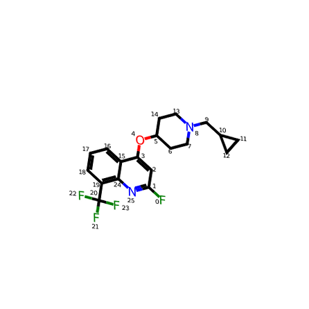 Fc1cc(OC2CCN(CC3CC3)CC2)c2cccc(C(F)(F)F)c2n1